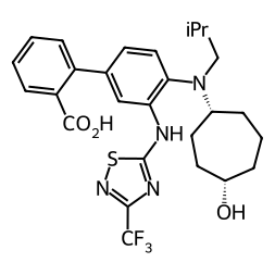 CC(C)CN(c1ccc(-c2ccccc2C(=O)O)cc1Nc1nc(C(F)(F)F)ns1)[C@@H]1CCC[C@H](O)CC1